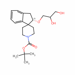 CC(C)(C)OC(=O)N1CCC2(CC1)c1ccccc1C[C@@H]2OCC(O)CO